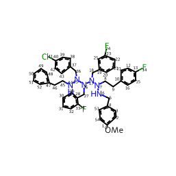 COc1ccc(CNN(CCc2ccc(F)cc2)N(Cc2cccc(F)c2)N(Cc2ccccc2F)N(Cc2ccc(Cl)cc2)NCCc2ccccc2)cc1